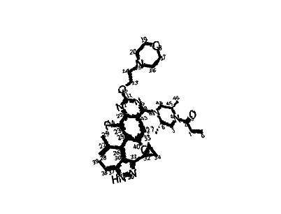 C=CC(=O)N1C[C@H](C)N(c2nc(OCCN3CCOCC3)nc3c(F)c(/C(C(=C)C)=c4\c(C5CC5)n[nH]\c4=C\C)c(Cl)cc23)C[C@H]1C